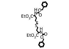 CCOC(=O)C(CCSSCCC(NC(=O)OCc1ccccc1)C(=O)OCC)NC(=O)OCc1ccccc1